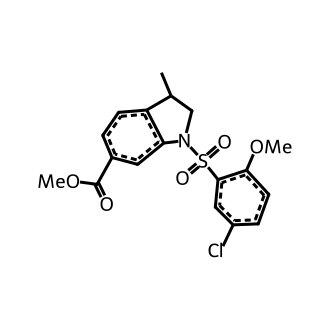 COC(=O)c1ccc2c(c1)N(S(=O)(=O)c1cc(Cl)ccc1OC)CC2C